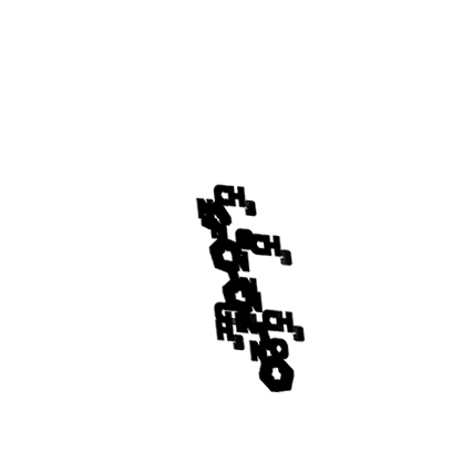 COc1nc(-c2cc(C)c(NC(C)c3nc4ccccc4o3)nn2)ccc1-n1cnc(C)c1